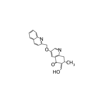 CC1Cc2ncc(OCc3ccc4ccccc4n3)cc2C(=O)C1=CO